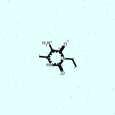 CCn1c(=O)[nH]c(C)c(N)c1=O